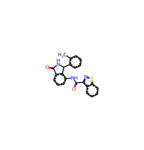 Cc1ccccc1C1NC(=O)c2cccc(NC(=O)c3nsc4ccccc34)c21